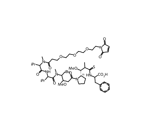 CCC(C)C(C(CC(=O)N1CCC[C@H]1C(OC)C(C)C(=S)NC(Cc1ccccc1)C(=O)O)OC)N(C)C(=O)C(NC(=O)C(C(C)C)N(C)C(=O)CCOCCOCCOCCN1C(=O)C=CC1=O)C(C)C